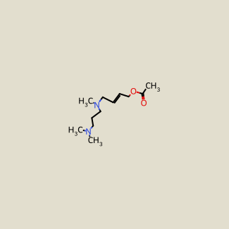 CC(=O)OCC=CCN(C)CCCN(C)C